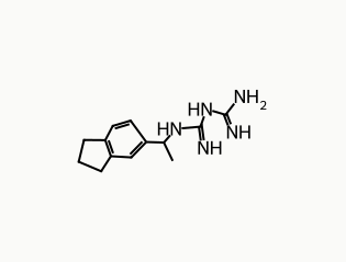 CC(NC(=N)NC(=N)N)c1ccc2c(c1)CCC2